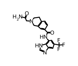 NC(=O)CN1CCc2ccc(C(=O)Nc3cc(C(F)(F)F)cc4nc[nH]c34)cc2C1